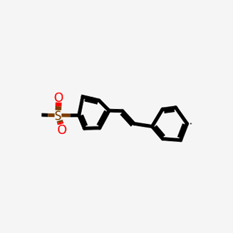 CS(=O)(=O)c1ccc(C=Cc2cc[c]cc2)cc1